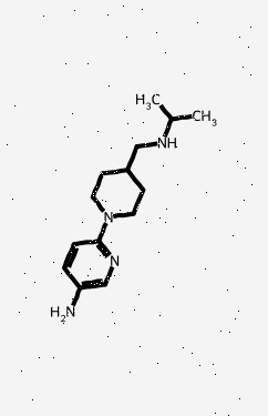 CC(C)NCC1CCN(c2ccc(N)cn2)CC1